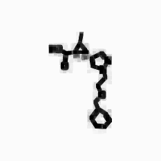 CC1[C@H](C(=O)O)[C@H]1c1cnn(CCOCc2ccccc2)c1